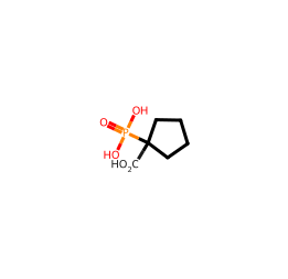 O=C(O)C1(P(=O)(O)O)CCCC1